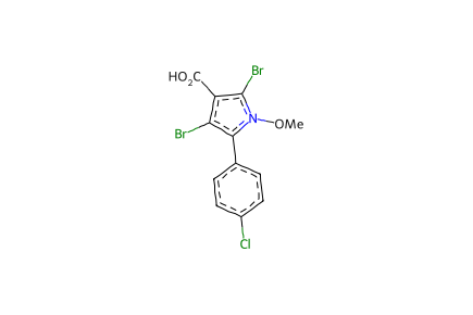 COn1c(Br)c(C(=O)O)c(Br)c1-c1ccc(Cl)cc1